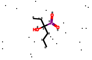 CCCC(O)(CC)P(=O)=O